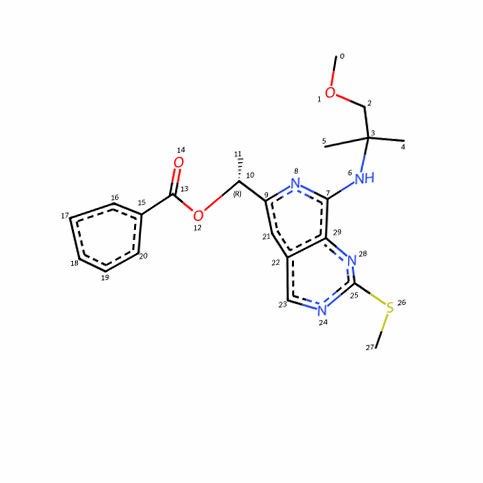 COCC(C)(C)Nc1nc([C@@H](C)OC(=O)c2ccccc2)cc2cnc(SC)nc12